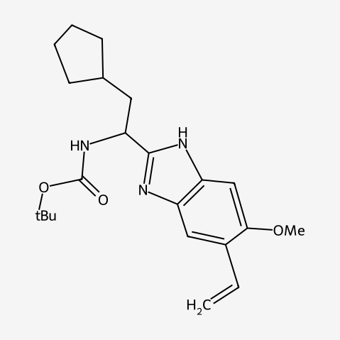 C=Cc1cc2nc(C(CC3CCCC3)NC(=O)OC(C)(C)C)[nH]c2cc1OC